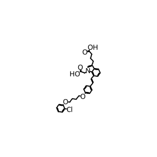 O=C(O)CCCc1cn(CC(=O)O)c2c(/C=C/c3ccc(OCCCCOc4ccccc4Cl)cc3)cccc12